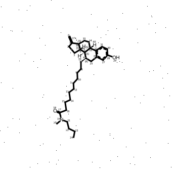 C=C1CC[C@H]2[C@@H]3[C@H](CCCCCCCCCCC(=O)N(C)CCCC)Cc4cc(O)ccc4[C@H]3CC[C@]12C